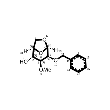 CO[C@H]1[C@H](O)[C@H]2CO[C@H](O2)[C@H]1OCc1ccccc1